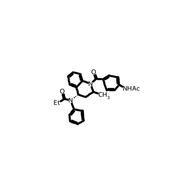 CCC(=O)N(c1ccccc1)[C@H]1CC(C)N(C(=O)c2ccc(NC(C)=O)cc2)c2ccccc21